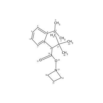 CC(C)c1ccccc1C(C(=O)ON1CCC1)C(C)(C)C